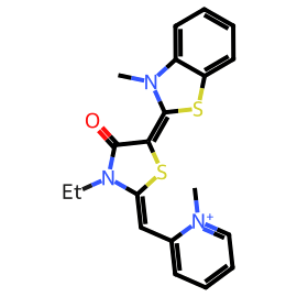 CCn1c(=Cc2cccc[n+]2C)sc(=C2Sc3ccccc3N2C)c1=O